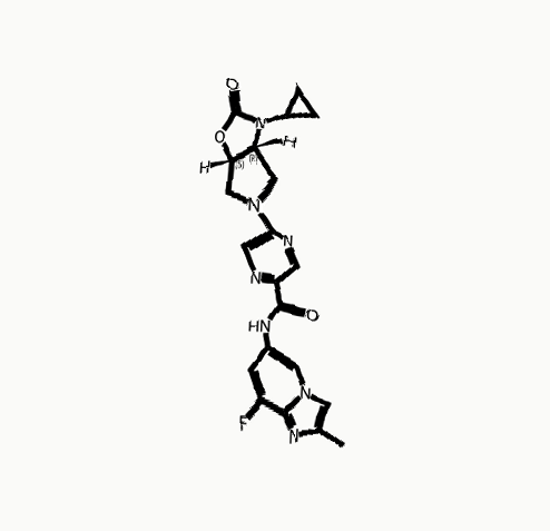 Cc1cn2cc(NC(=O)c3cnc(N4C[C@@H]5OC(=O)N(C6CC6)[C@@H]5C4)cn3)cc(F)c2n1